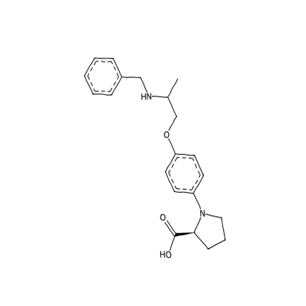 CC(COc1ccc(N2CCC[C@H]2C(=O)O)cc1)NCc1ccccc1